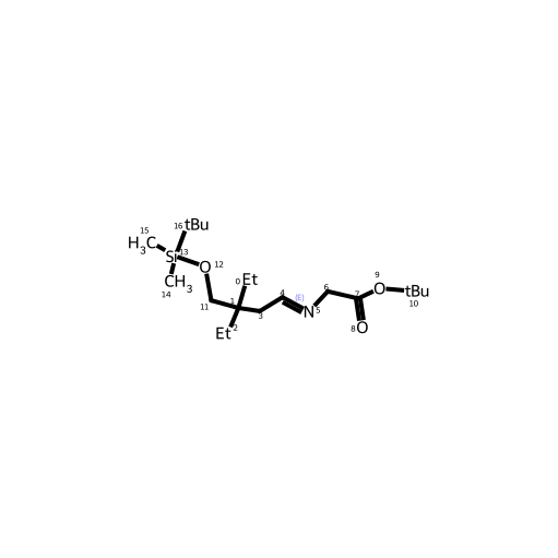 CCC(CC)(C/C=N/CC(=O)OC(C)(C)C)CO[Si](C)(C)C(C)(C)C